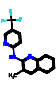 Cc1cc2ccccc2nc1Nc1ccc(C(F)(F)F)cn1